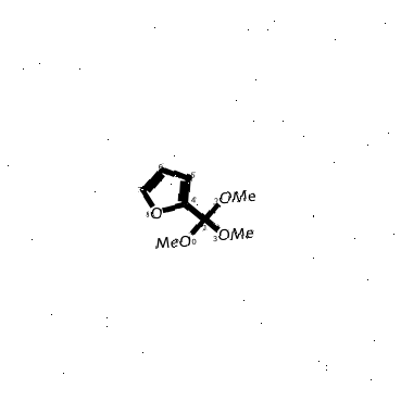 COC(OC)(OC)c1ccco1